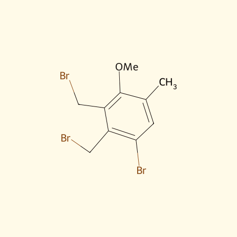 COc1c(C)cc(Br)c(CBr)c1CBr